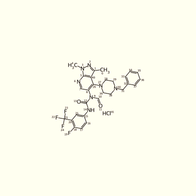 Cc1nn(C)c2ncc(N(C=O)C(=O)Nc3ccc(F)c(C(F)(F)F)c3)c(N3CCN(Cc4ccccc4)CC3)c12.Cl